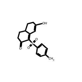 Cc1ccc(S(=O)(=O)C2=C3C=C(O)CCC3CCC2=O)cc1